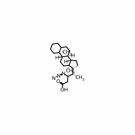 C[C@H](C(CC(=O)O)N=[N+]=[N-])[C@H]1CC[C@H]2[C@@H]3CCC4CCCC[C@]4(C)[C@H]3CC[C@]12C